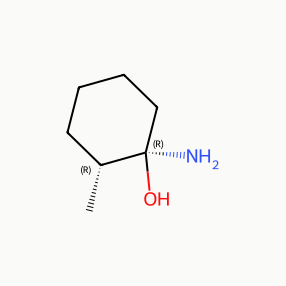 C[C@@H]1CCCC[C@@]1(N)O